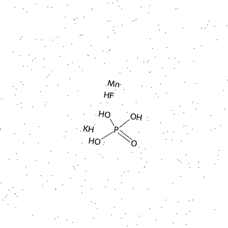 F.O=P(O)(O)O.[KH].[Mn]